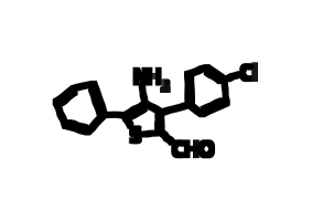 Nc1c(-c2ccccc2)sc(C=O)c1-c1ccc(Cl)cc1